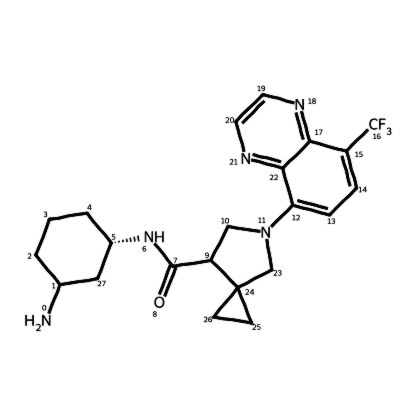 NC1CCC[C@H](NC(=O)C2CN(c3ccc(C(F)(F)F)c4nccnc34)CC23CC3)C1